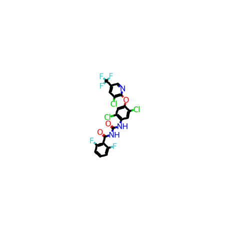 O=C(NC(=O)c1c(F)cccc1F)Nc1cc(Cl)c(Oc2ncc(C(F)(F)F)cc2Cl)cc1Cl